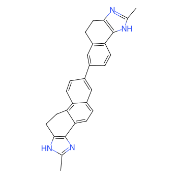 Cc1nc2c([nH]1)CCc1c-2ccc2cc(-c3ccc4c(c3)CCc3nc(C)[nH]c3-4)ccc12